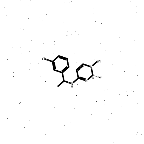 CC(NC1=N[C@@H](F)N(C(C)C)C=C1)c1cccc(Cl)c1